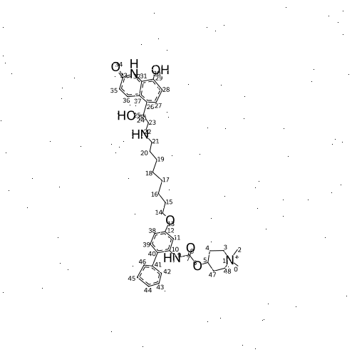 C[N+]1(C)CCC(OC(=O)Nc2cc(OCCCCCCCCNC[C@H](O)c3ccc(O)c4[nH]c(=O)ccc34)ccc2-c2ccccc2)CC1